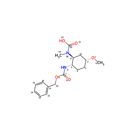 CO[C@@H]1CC[C@H](NC(=O)OCc2ccccc2)[C@@H](N(C)C(=O)O)C1